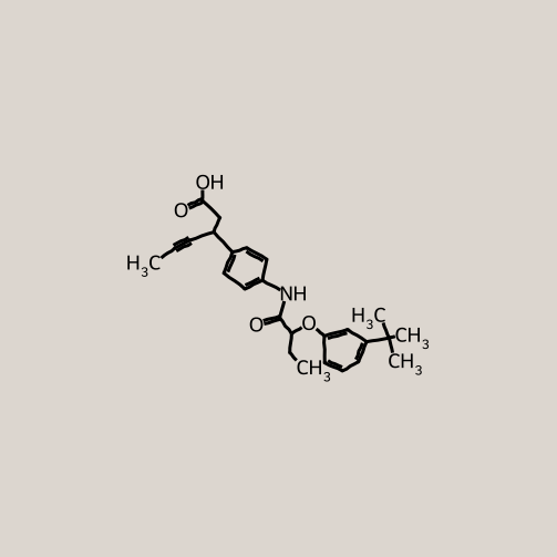 CC#CC(CC(=O)O)c1ccc(NC(=O)C(CC)Oc2cccc(C(C)(C)C)c2)cc1